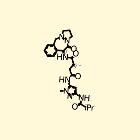 CC(C)C(=O)Nc1cc(NC(=O)C[C@@H](C)C(=O)N[C@@H]2C(=O)N3CCCN3Cc3ccccc32)n(C)n1